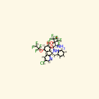 NC(C(=O)N[C@@](Cc1ccccc1)(c1cc(F)cc(OC(F)(F)C(F)F)c1)c1ccc(Cl)cn1)C(O)(C(F)(F)F)C(F)(F)F